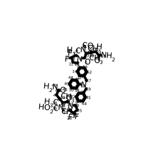 CN(C(=O)O)[C@H](C(=O)N1CC(F)(F)C[C@H]1c1ccc(CN(Cc2ccc([C@@H]3CC(F)(F)CN3C(=O)[C@@H](N(C)C(=O)O)C(C)(C)CC(N)=O)cc2)c2ccccc2)cc1)C(C)(C)CC(N)=O